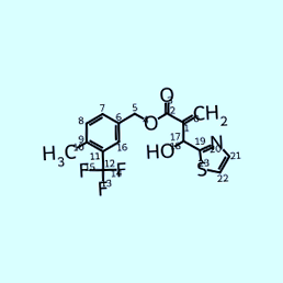 C=C(C(=O)OCc1ccc(C)c(C(F)(F)F)c1)C(O)c1nccs1